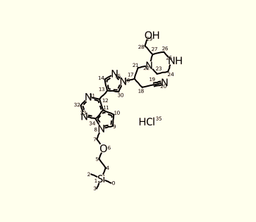 C[Si](C)(C)CCOCn1ccc2c(-c3cnn(C(CC#N)CN4CCNCC4CO)c3)ncnc21.Cl